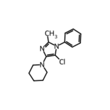 Cc1nc(N2CCCCC2)c(Cl)n1-c1ccccc1